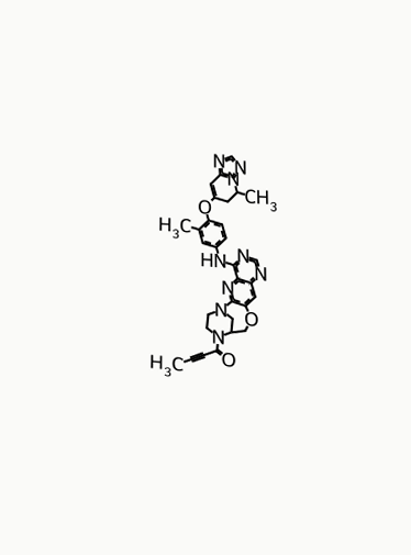 CC#CC(=O)N1CCN2CC1COc1cc3ncnc(Nc4ccc(OC5=Cc6ncnn6C(C)C5)c(C)c4)c3nc12